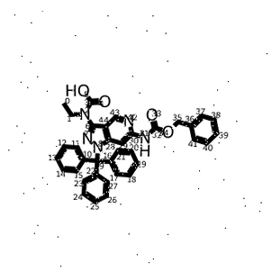 CCN(C(=O)O)c1nn(C(c2ccccc2)(c2ccccc2)c2ccccc2)c2cc(NC(=O)OCc3ccccc3)ncc12